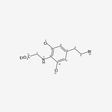 CCOC(=O)CNc1c(Cl)cc(CCBr)cc1Cl